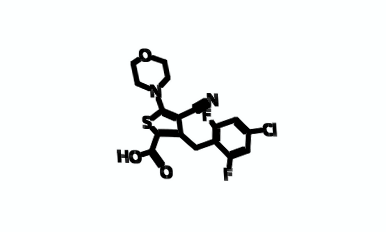 N#Cc1c(N2CCOCC2)sc(C(=O)O)c1Cc1c(F)cc(Cl)cc1F